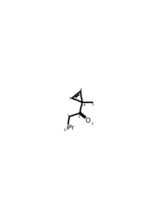 CC(C)CC(=O)C1(C)C=C1